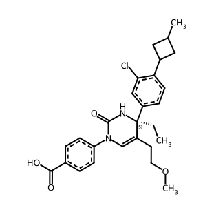 CC[C@@]1(c2ccc(C3CC(C)C3)c(Cl)c2)NC(=O)N(c2ccc(C(=O)O)cc2)C=C1CCOC